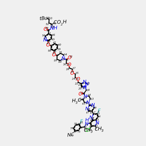 Cc1nc2cc(F)c(-c3cnc(N4CCN(C(=O)Cn5cc(COCCOCCOCC(=O)N6CCC(Oc7cccc(Oc8ccc(C(=O)N[C@@H](CCC(C)(C)C)C(=O)O)cn8)c7)CC6)nn5)[C@H](C)C4)nc3)nc2c(N[C@H](C)c2cc(C#N)ccc2F)c1Cl